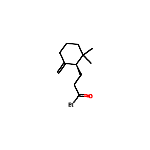 C=C1CCCC(C)(C)[C@H]1CCC(=O)CC